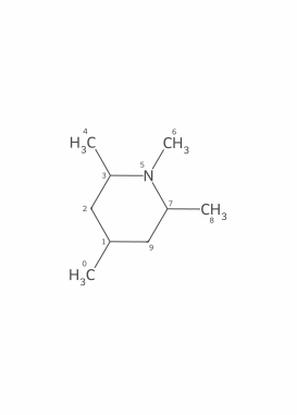 CC1CC(C)N(C)C(C)C1